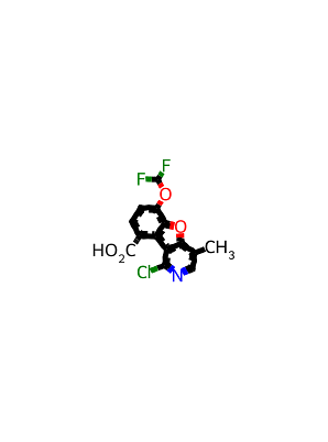 Cc1cnc(Cl)c2c1oc1c(OC(F)F)ccc(C(=O)O)c12